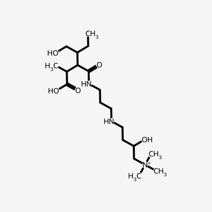 CCC(CO)C(C(=O)NCCCNCCC(O)C[N+](C)(C)C)C(C)C(=O)O